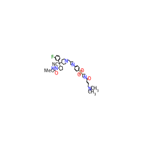 COC(=O)N[C@H]1CCC[C@@H]1C(C#N)(c1cccc(F)c1)C1CCN(CC2CN(c3ccc(S(=O)(=O)C4CN(C(=O)/C=C/CN(C)C)C4)cc3)C2)CC1